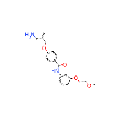 C=C(CN)COc1ccc(C(=O)Nc2cccc(OCCOC)c2)cc1